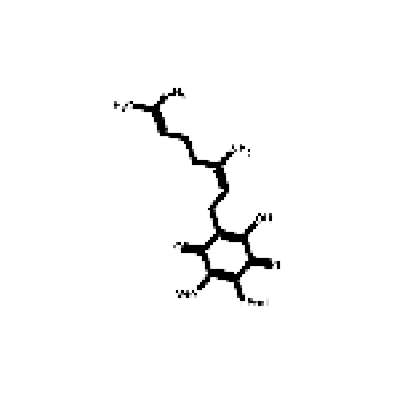 CCCCCC1=C(NC)C(=O)C(CC=C(C)CCC=C(C)C)=C(O)C1=O